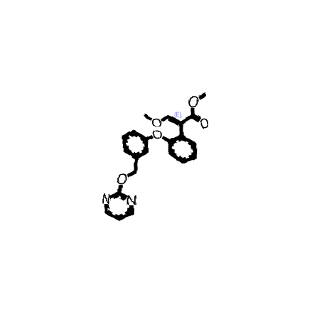 CO/C=C(/C(=O)OC)c1ccccc1Oc1cccc(COc2ncccn2)c1